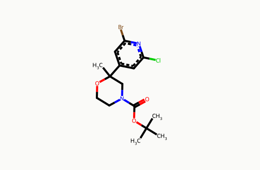 CC(C)(C)OC(=O)N1CCOC(C)(c2cc(Cl)nc(Br)c2)C1